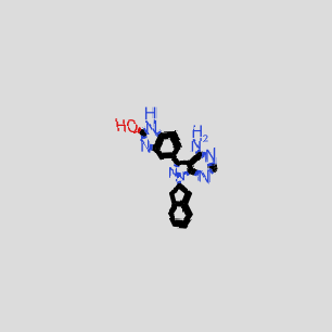 Nc1ncnc2c1c(-c1ccc3[nH]c(O)nc3c1)nn2C1Cc2ccccc2C1